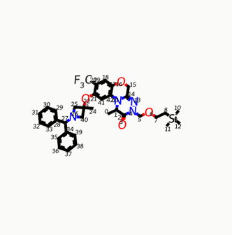 CC1C(=O)N(COCC[Si](C)(C)C)N=C2COc3cc(C(F)(F)F)c(OC4(C)CN(C(c5ccccc5)c5ccccc5)C4)cc3N21